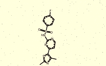 Cc1nc(C)c(-c2ccnc(NS(=O)(=O)c3ccc(F)cc3)n2)s1